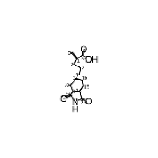 C=C(CCC)C(=O)O.O=C1NC(=O)C2=C1CCCC2